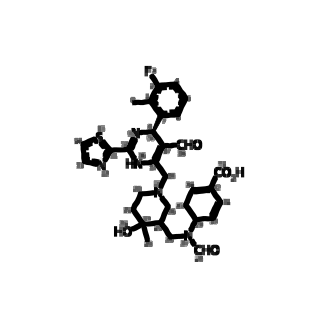 Cc1c(F)cccc1[C@@H]1N=C(c2nccs2)NC(CN2CCC(C)(O)C(CN(C=O)C3C=CC(C(=O)O)=CC3)C2)=C1C=O